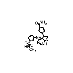 CNS(=O)(=O)c1cccc(Nc2nc[nH]c3ncc(-c4ccc(C(N)=O)cc4)c2-3)c1